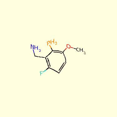 COc1ccc(F)c(CN)c1P